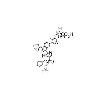 Cc1c(CC(C)(NC(=O)O)C(C)(C)C)cncc1-c1ccc2c(c1)c(-c1ncc(C(=O)N(CCN(C)C)Cc3ccccc3)[nH]1)nn2C1CCCCO1